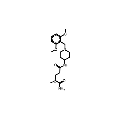 COc1cccc(OC)c1CN1CCC(NC(=O)[CH]C[C@H](C)C(N)=O)CC1